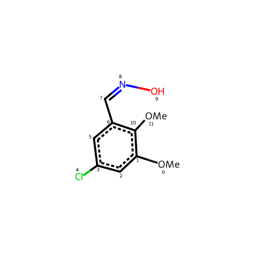 COc1cc(Cl)cc(/C=N\O)c1OC